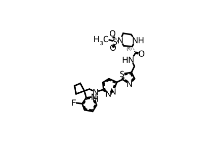 CS(=O)(=O)N1CCN[C@H](C(=O)NCc2cnc(-c3ccc(NCC4(c5ncccc5F)CCC4)nn3)s2)C1